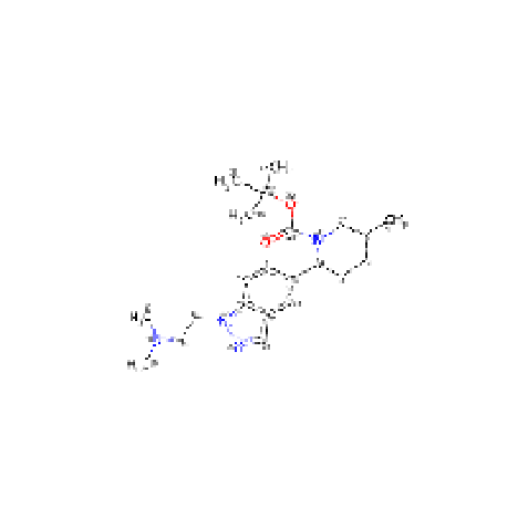 CC1CCC(c2ccc3c(cnn3CCN(C)C)c2)N(C(=O)OC(C)(C)C)C1